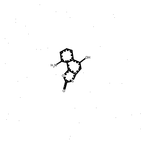 Nc1cccc2c(O)cc3sc(=O)oc3c12